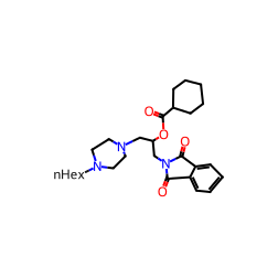 CCCCCCN1CCN(CC(CN2C(=O)c3ccccc3C2=O)OC(=O)C2CCCCC2)CC1